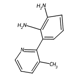 Cc1cccnc1-c1cccc(N)c1N